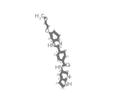 COCCOc1ccc2nc(-c3ccc(C(=O)Nc4cnc5[nH]ccc5c4)cc3)[nH]c2c1